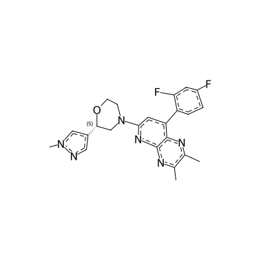 Cc1nc2nc(N3CCO[C@@H](c4cnn(C)c4)C3)cc(-c3ccc(F)cc3F)c2nc1C